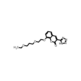 CCOCCCOCCOc1cccc2cc(-c3nnn[nH]3)c(=O)oc12